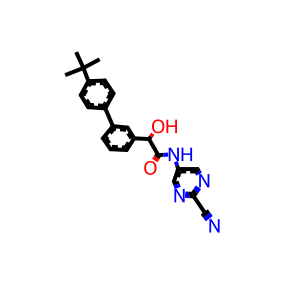 CC(C)(C)c1ccc(-c2cccc(C(O)C(=O)Nc3cnc(C#N)nc3)c2)cc1